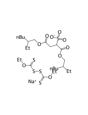 CCCCC(CC)COC(=O)CC(C(=O)OCC(CC)CCCC)S(=O)(=O)[O-].CCOC(=S)SSC(=S)OCC.[Na+]